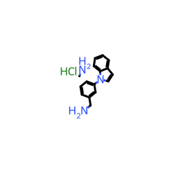 CN.Cl.NCc1cccc(-n2ccc3ccccc32)c1